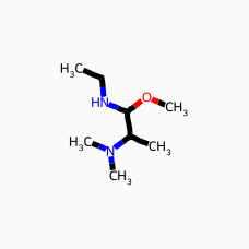 CCNC(OC)C(C)N(C)C